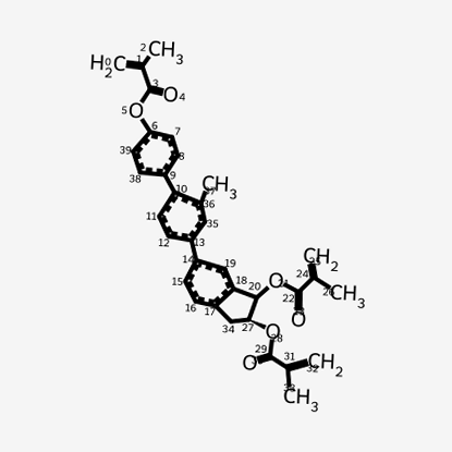 C=C(C)C(=O)Oc1ccc(-c2ccc(-c3ccc4c(c3)C(OC(=O)C(=C)C)[C@@H](OC(=O)C(=C)C)C4)cc2C)cc1